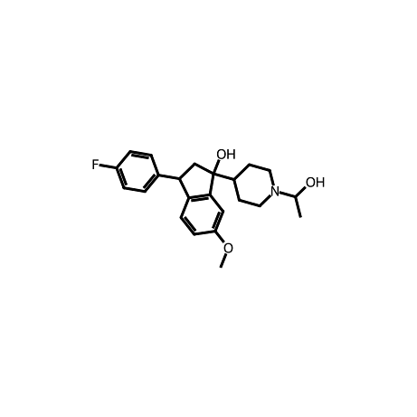 COc1ccc2c(c1)C(O)(C1CCN(C(C)O)CC1)CC2c1ccc(F)cc1